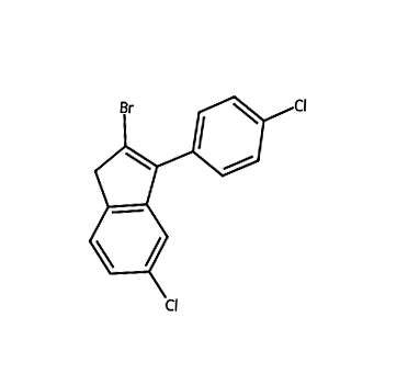 Clc1ccc(C2=C(Br)Cc3ccc(Cl)cc32)cc1